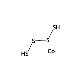 SSSS.[Co]